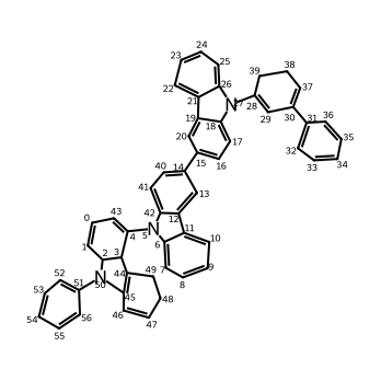 C1=CC2C(C(n3c4ccccc4c4cc(-c5ccc6c(c5)c5ccccc5n6C5=CC(c6ccccc6)=CCC5)ccc43)=C1)C1=C(C=CCC1)N2c1ccccc1